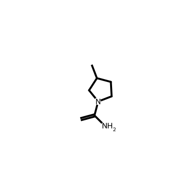 C=C(N)N1CCC(C)C1